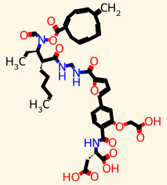 C=C1/C=C\C=C/C/C(C(=O)ON(C=O)[C@H](CC)[C@@H](CCCCC)C(=O)NCNC(=O)c2ccc(-c3ccc(C(=O)N[C@@H](CC(=O)O)C(=O)O)c(OCC(=O)O)c3)o2)=C\C=C/1